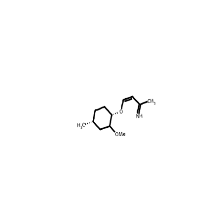 COC1C[C@H](C)CC[C@@H]1O/C=C\C(C)=N